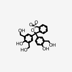 O=S1(=O)OC(c2ccc(O)c(CO)c2)(c2cc(CO)c(O)c(CO)c2)c2ccccc21